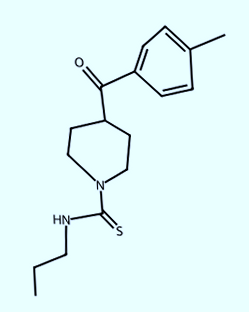 CCCNC(=S)N1CCC(C(=O)c2ccc(C)cc2)CC1